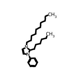 CCCCCCCCCCN1C=CN(c2ccccc2)C1CCCCCC